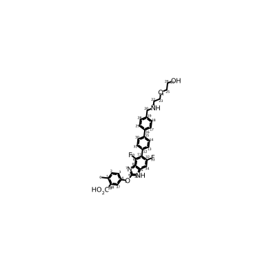 Cc1ccc(Oc2nc3c(F)c(-c4ccc(-c5ccc(CNCCOCCO)cc5)cc4)c(F)cc3[nH]2)cc1C(=O)O